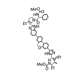 C=C(C(CC)NC(=O)OC)N(CCC)Cc1ncc(-c2ccc3c(c2)OCc2cc(-c4ccc5nc([C@@H]6[C@H](CC)CCN6C(=O)C(NC(=O)OC)c6ccccc6)[nH]c5c4)ccc2-3)[nH]1